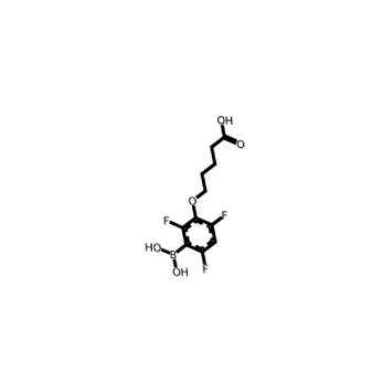 O=C(O)CCCCOc1c(F)cc(F)c(B(O)O)c1F